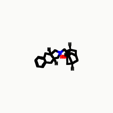 O[C@@]12CC3C[C@H](C1)[C@@H](CN1C[C@H]4Cc5ccccc5C[C@H]4C1)[C@@H](C3)C2